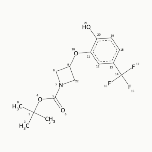 CC(C)(C)OC(=O)N1CC(Oc2cc(C(F)(F)F)ccc2O)C1